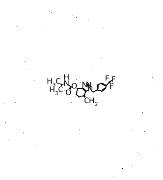 C=C1CCC(OC(=O)NC(C)C)c2nnn(Cc3ccc(C(F)(F)F)cc3)c21